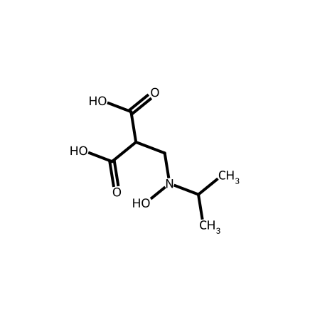 CC(C)N(O)CC(C(=O)O)C(=O)O